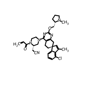 C=CC(=O)N1CCN(c2nc(OC[C@@H]3CCCN3C)nc3c2CC[C@]2(C=C(C)c4c(Cl)cccc42)C3)C[C@@H]1CC#N